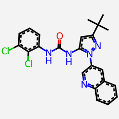 CC(C)(C)c1cc(NC(=O)Nc2cccc(Cl)c2Cl)n(-c2cnc3ccccc3c2)n1